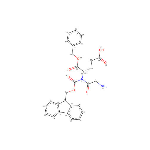 NCC(=O)N(C(=O)OCC1c2ccccc2-c2ccccc21)[C@@H](CCC(=O)O)C(=O)OCc1ccccc1